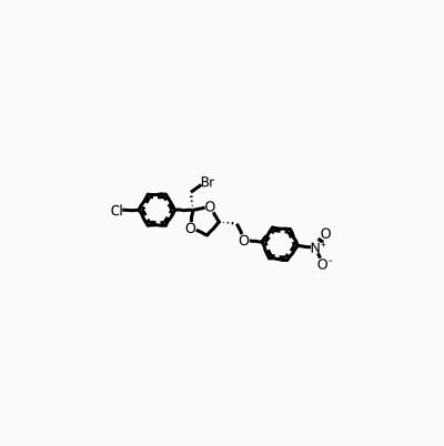 O=[N+]([O-])c1ccc(OC[C@@H]2CO[C@@](CBr)(c3ccc(Cl)cc3)O2)cc1